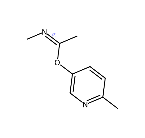 C/N=C(/C)Oc1ccc(C)nc1